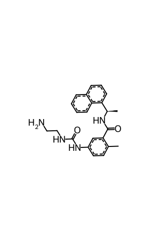 Cc1ccc(NC(=O)NCCN)cc1C(=O)N[C@H](C)c1cccc2ccccc12